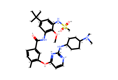 COc1c(NC(=O)c2ccc(C)c(Oc3ccnc(NC4CCC(N(C)C)CC4)n3)c2)cc(C(C)(C)C)cc1NS(C)(=O)=O